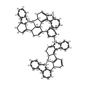 C1=CC2=C3B(C4CC=c5c(c6ccccc6n5-c5cccc(C6=CCC7C8=CCCc9c8n(c8ccccc98)B8C7=C6C6=c7c(oc9ccccc79)=CCC86)c5)=C24)n2c4ccccc4c4cccc(c42)C3C1